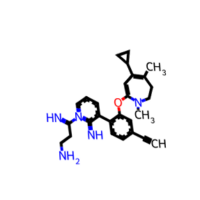 C#Cc1ccc(-c2cccn(C(=N)CCN)c2=N)c(OC2=CC(C3CC3)=C(C)CCN2C)c1